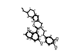 CCC1CCc2cc(CN(CCc3ccc(Cl)c(Cl)c3)C(=O)c3cc(Cl)cc4cc[nH]c34)sc2C1